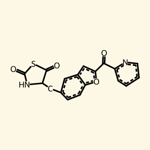 O=C1NC(Cc2ccc3oc(C(=O)c4ccccn4)cc3c2)C(=O)S1